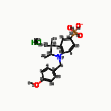 COc1ccc(CN2c3ccc(S(=O)(=O)[O-])cc3C(C)(C)C2C)cc1.Cl.[K+]